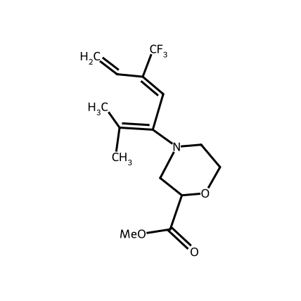 C=C/C(=C\C(=C(C)C)N1CCOC(C(=O)OC)C1)C(F)(F)F